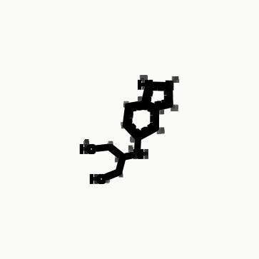 OCC(CO)Nc1ccc2[nH]ncc2c1